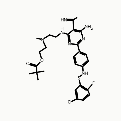 CC(=N)c1c(N)nc(-c2ccc(NSc3cc(Cl)ccc3F)cc2)nc1NCCN(C)CCOC(=O)C(C)(C)C